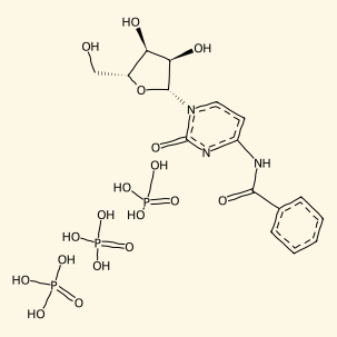 O=C(Nc1ccn([C@@H]2O[C@H](CO)[C@@H](O)[C@H]2O)c(=O)n1)c1ccccc1.O=P(O)(O)O.O=P(O)(O)O.O=P(O)(O)O